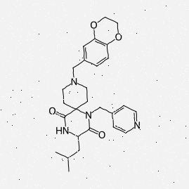 CC(C)CC1NC(=O)C2(CCN(Cc3ccc4c(c3)OCCO4)CC2)N(Cc2ccncc2)C1=O